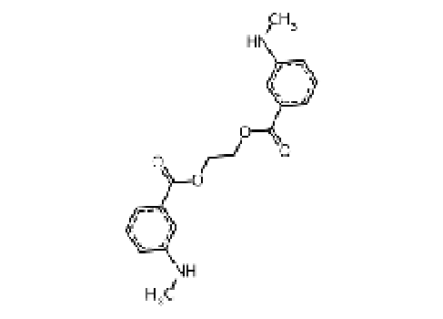 CNc1cccc(C(=O)OCCOC(=O)c2cccc(NC)c2)c1